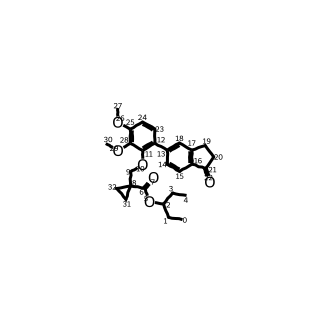 CCC(CC)OC(=O)C1(COc2c(-c3ccc4c(c3)CCC4=O)ccc(OC)c2OC)CC1